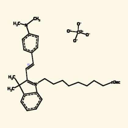 CCCCCCCCCCCCCCCCCC[N+]1=C(/C=C/c2ccc(N(C)C)cc2)C(C)(C)c2ccccc21.[O-][Cl+3]([O-])([O-])[O-]